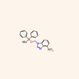 CC(C)(C)[Si](OCn1cnc2c([N+](=O)[O-])cccc21)(c1ccccc1)c1ccccc1